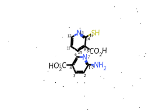 Nc1ccc(C(=O)O)cn1.O=C(O)c1cccnc1S